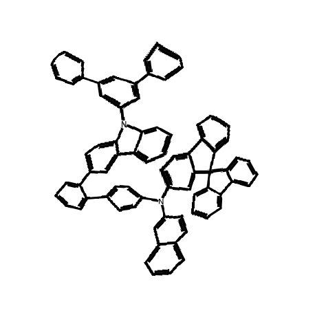 c1ccc(-c2cc(-c3ccccc3)cc(-n3c4ccccc4c4cc(-c5ccccc5-c5ccc(N(c6ccc7c(c6)C6(c8ccccc8-c8ccccc86)c6ccccc6-7)c6ccc7ccccc7c6)cc5)ccc43)c2)cc1